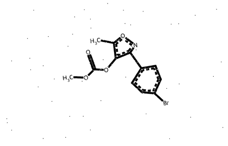 COC(=O)Oc1c(-c2ccc(Br)cc2)noc1C